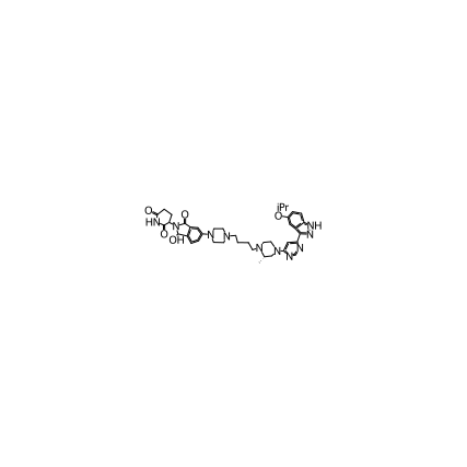 CC(C)Oc1ccc2[nH]nc(-c3cc(N4CCN(CCCCN5CCN(c6ccc7c(c6)C(=O)N(C6CCC(=O)NC6=O)C7O)CC5)[C@@H](C)C4)ncn3)c2c1